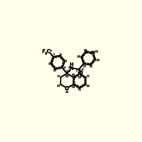 O=C(N[C@]1(c2ccc(C(F)(F)F)cc2)CCOc2cccnc21)c1ccncc1